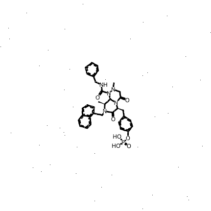 C[C@H]1C2N(C(=O)CN(C)N2C(=O)NCc2ccccc2)[C@@H](Cc2ccc(OP(=O)(O)O)cc2)C(=O)N1Cc1cccc2ccccc12